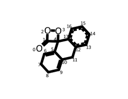 O=C1OOC12C1=CCCC=C1Cc1ccccc12